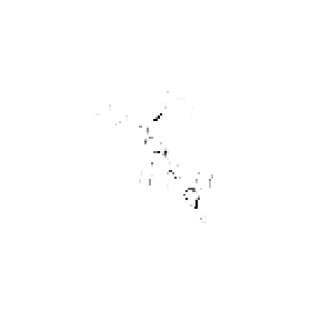 CC#CC(CC(=O)O)c1ccc(NC(=O)C(C)Oc2ccc(Br)cc2Cl)cc1